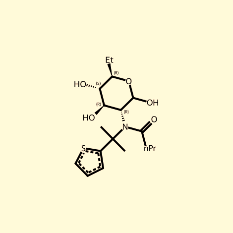 CCCC(=O)N([C@H]1C(O)O[C@H](CC)[C@@H](O)[C@@H]1O)C(C)(C)c1cccs1